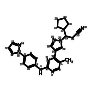 Cc1cnc(Nc2ccc(-n3cccn3)cc2)nc1-c1cnn(C(CC#N)C2CCCC2)c1